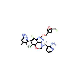 Cc1cc(N)nc(-c2c(Cl)c3c4c(nc(OCC56COC(CF)(C5)C6)nc4c2F)N([C@H](C)c2cccnc2N)CCO3)c1C(F)(F)F